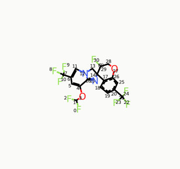 FC(F)OC1=CC(C(F)(F)F)=CN2CC3(N=C12)c1ccc(C(F)(F)F)cc1OC[C@@H]3F